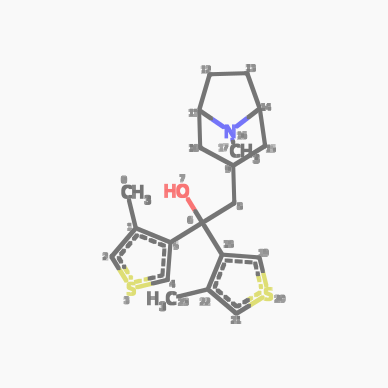 Cc1cscc1C(O)(CC1CC2CCC(C1)N2C)c1cscc1C